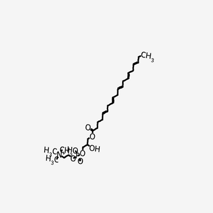 CC/C=C/C/C=C/C/C=C/C/C=C/C/C=C/CCCC(=O)OCC(O)COP(=O)(O)OCC[N+](C)(C)C